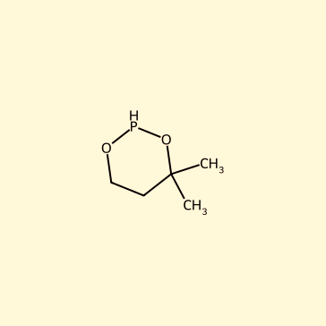 CC1(C)CCOPO1